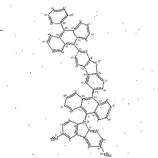 CC(C)(C)c1ccc2c(c1)c1cc(C(C)(C)C)ccc1n2-c1c2ccccc2c(-c2ccc3sc4cc(-c5c6ccccc6c(-c6ccccc6)c6ccccc56)ccc4c3c2)c2ccccc12